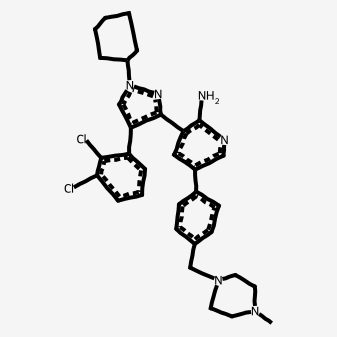 CN1CCN(Cc2ccc(-c3cnc(N)c(-c4nn(C5CCCCC5)cc4-c4cccc(Cl)c4Cl)c3)cc2)CC1